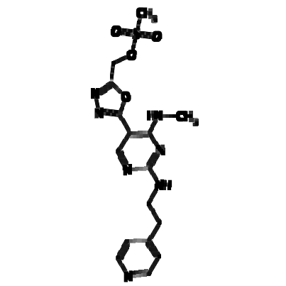 CNc1nc(NCCc2ccncc2)ncc1-c1nnc(COS(C)(=O)=O)o1